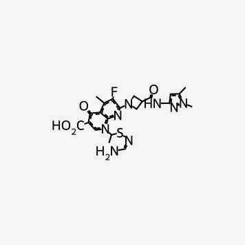 Cc1c(F)c(N2CC(C(=O)Nc3cc(C)n(C)n3)C2)nc2c1c(=O)c(C(=O)O)cn2C(C)S/N=C\N